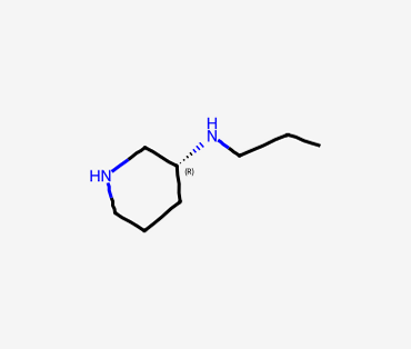 CCCN[C@@H]1CCCNC1